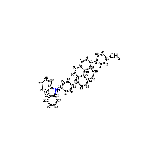 Cc1ccc(-c2ccc3ccc4c(-c5ccc(-n6c7c(c8ccccc86)CCC=C7)cc5)ccc5ccc2c3c54)cc1